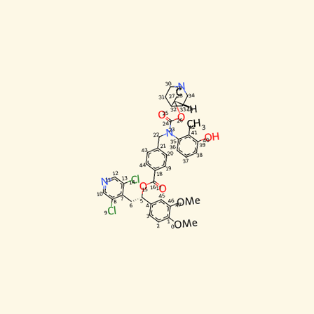 COc1ccc([C@H](Cc2c(Cl)cncc2Cl)OC(=O)c2ccc(CN(C(=O)O[C@H]3CN4CCC3CC4)c3cccc(O)c3C)cc2)cc1OC